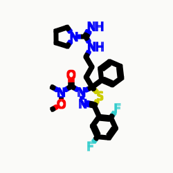 CON(C)C(=O)N1N=C(c2cc(F)ccc2F)SC1(CCCNC(=N)N1CCCC1)c1ccccc1